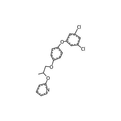 CC(COc1ccc(Oc2cc(Cl)cc(Cl)c2)cc1)Oc1ccccn1